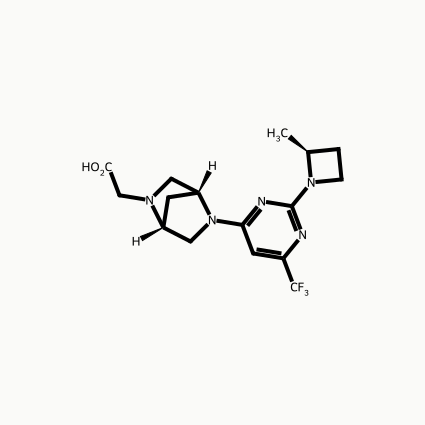 C[C@H]1CCN1c1nc(N2C[C@H]3C[C@@H]2CN3CC(=O)O)cc(C(F)(F)F)n1